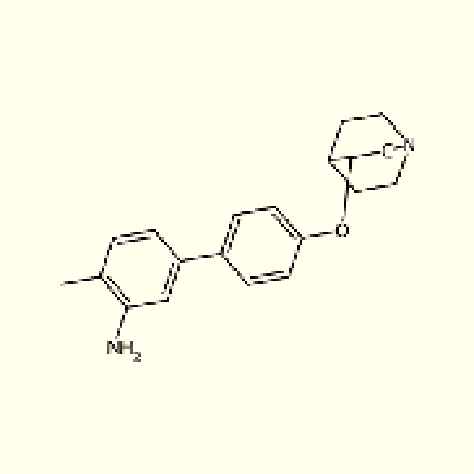 Cc1ccc(-c2ccc(OC3CN4CCC3CC4)cc2)cc1N